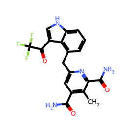 Cc1c(C(N)=O)cc(Cc2cccc3[nH]cc(C(=O)C(F)(F)F)c23)nc1C(N)=O